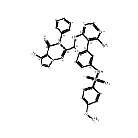 COc1ccc(S(=O)(=O)Nc2cccc(-c3c(N)ncnc3N[C@@H](C)c3nn4ccc(C)c4c(=O)n3-c3ccccc3)c2)cc1